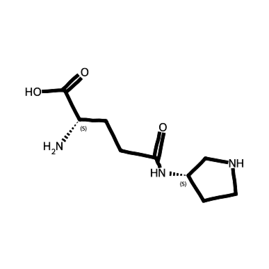 N[C@@H](CCC(=O)N[C@H]1CCNC1)C(=O)O